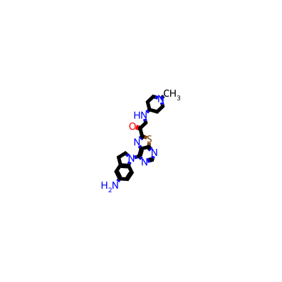 CN1CCC(NCC(=O)c2nc3c(N4CCc5cc(N)ccc54)ncnc3s2)CC1